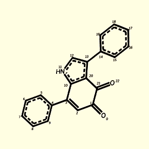 O=C1C=C(c2ccccc2)c2[nH]cc(-c3ccccc3)c2C1=O